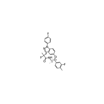 Cc1ccc([C@H](Oc2ccc3c(cnn3-c3ccc(F)cc3)c2)[C@H](C)NC(=O)C(C)(F)F)cc1F